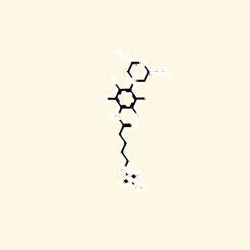 C[C@@H]1CN(c2c(F)c(F)c(NC(=O)CCCCNS(=O)(=O)C(C)(C)C)c(F)c2F)C[C@H](C)O1